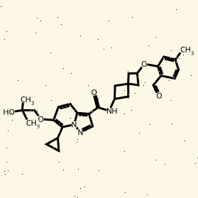 Cc1ccc(C=O)c(OC2CC3(CC(NC(=O)c4cnn5c(C6CC6)c(OCC(C)(C)O)ccc45)C3)C2)c1